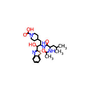 CC(=O)NC(CC(C)C)C(=O)NC(CC1CCN(C(=O)O)CC1)C(O)c1nc2ccccc2s1